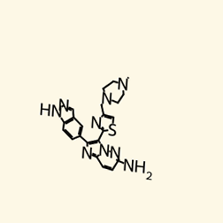 CN1CCN(Cc2csc(-c3c(-c4ccc5[nH]ncc5c4)nc4ccc(N)nn34)n2)CC1